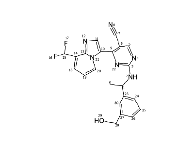 CC(Nc1ncc(C#N)c(-c2cnc3c(C(F)F)cccn23)n1)c1cccc(CO)c1